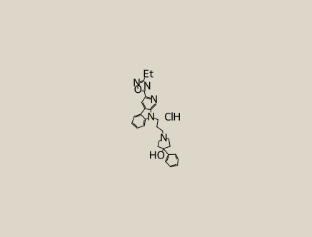 CCc1noc(-c2cc3c4ccccc4n(CCCN4CCC(O)(c5ccccc5)CC4)c3cn2)n1.Cl